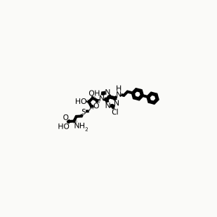 N[C@@H](CCSC[C@H]1O[C@@H](n2cnc3c(NCCc4ccc(-c5ccccc5)cc4)nc(Cl)nc32)[C@H](O)[C@@H]1O)C(=O)O